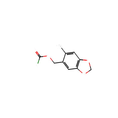 O=C(Cl)OCc1cc2c(cc1[N+](=O)[O-])OCO2